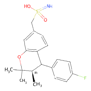 C[C@@H]1C(c2ccc(F)cc2)c2ccc(CS(=N)(=O)O)cc2OC1(C)C